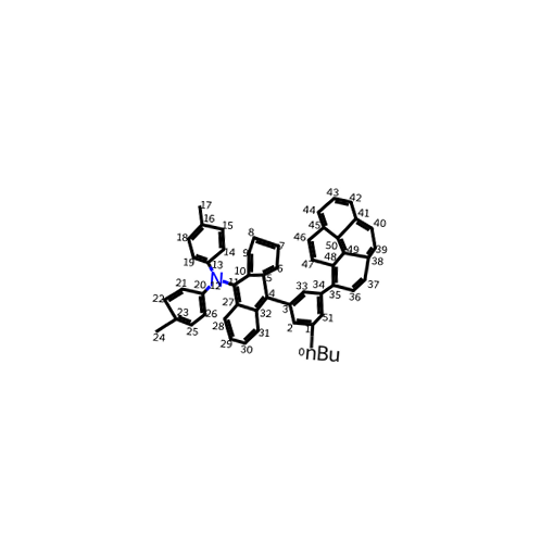 CCCCc1cc(-c2c3ccccc3c(N(c3ccc(C)cc3)c3ccc(C)cc3)c3ccccc23)cc(-c2ccc3ccc4cccc5ccc2c3c45)c1